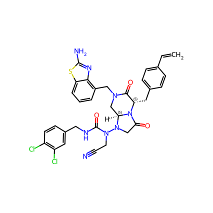 C=Cc1ccc(C[C@H]2C(=O)N(Cc3cccc4sc(N)nc34)C[C@H]3N2C(=O)CN3N(CC#N)C(=O)NCc2ccc(Cl)c(Cl)c2)cc1